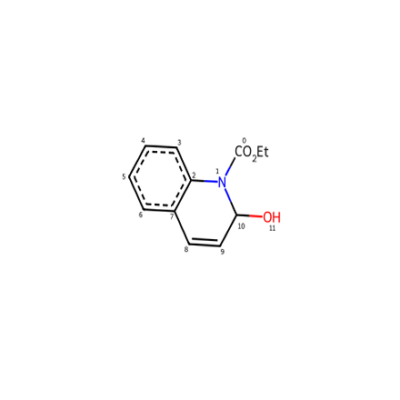 CCOC(=O)N1c2ccccc2C=CC1O